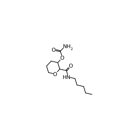 CCCCCNC(=O)C1OCCCC1OC(N)=O